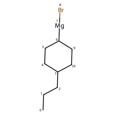 CCCC1CC[CH]([Mg][Br])CC1